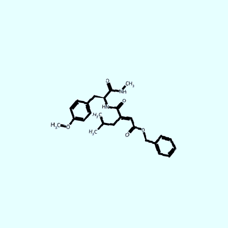 CNC(=O)[C@H](Cc1ccc(OC)cc1)NC(=O)/C(=C/C(=O)OCc1ccccc1)CC(C)C